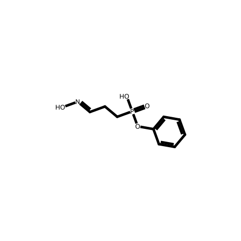 O=P(O)(CCC=NO)Oc1ccccc1